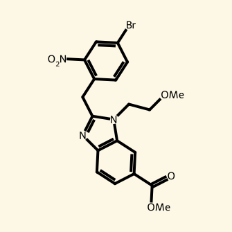 COCCn1c(Cc2ccc(Br)cc2[N+](=O)[O-])nc2ccc(C(=O)OC)cc21